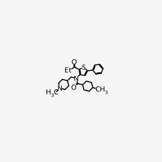 CCC(=O)c1sc(-c2ccccc2)cc1N(CC1CCN(C)CC1)C(=O)C1CCC(C)CC1